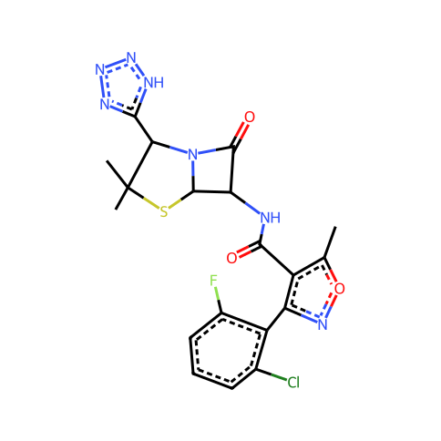 Cc1onc(-c2c(F)cccc2Cl)c1C(=O)NC1C(=O)N2C1SC(C)(C)C2c1nnn[nH]1